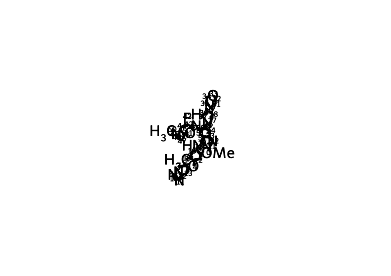 COc1cc(Oc2ccn3ncnc3c2)c(C)cc1Nc1ncnc2cc(N3CCC(N4CCOCC4)CC3)c(NC(=O)/C(F)=C\[C@H]3CCCN3C)cc12